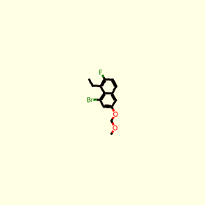 CCc1c(F)ccc2cc(OCOC)cc(Br)c12